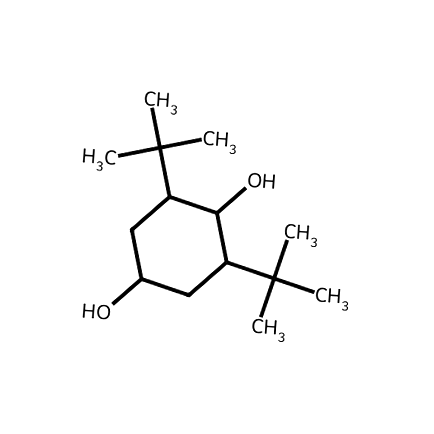 CC(C)(C)C1CC(O)CC(C(C)(C)C)C1O